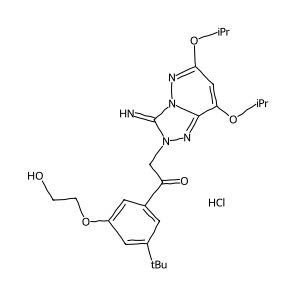 CC(C)Oc1cc(OC(C)C)c2nn(CC(=O)c3cc(OCCO)cc(C(C)(C)C)c3)c(=N)n2n1.Cl